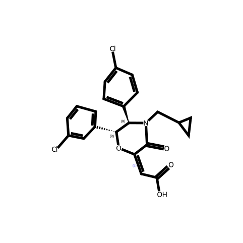 O=C(O)/C=C1/O[C@H](c2cccc(Cl)c2)[C@@H](c2ccc(Cl)cc2)N(CC2CC2)C1=O